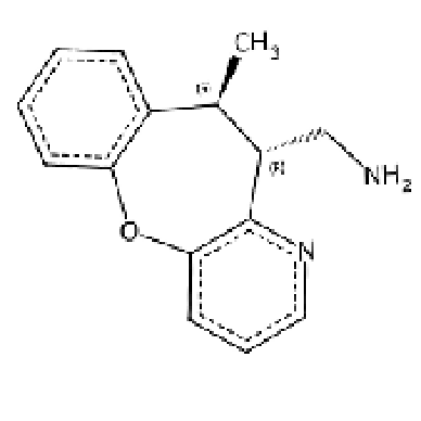 C[C@@H]1c2ccccc2Oc2cccnc2[C@H]1CN